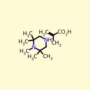 C=C(C)C(=O)O.CN1C(C)(C)CNCC1(C)C